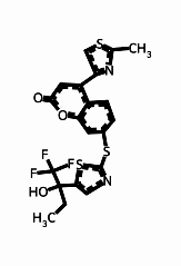 CCC(O)(c1cnc(Sc2ccc3c(-c4csc(C)n4)cc(=O)oc3c2)s1)C(F)(F)F